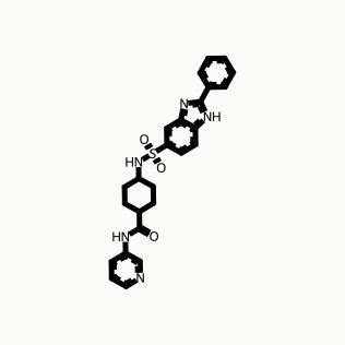 O=C(Nc1cccnc1)C1CCC(NS(=O)(=O)c2ccc3[nH]c(-c4ccccc4)nc3c2)CC1